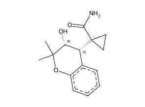 CC1(C)Oc2ccccc2[C@@H](C2(C(N)=O)CC2)[C@H]1O